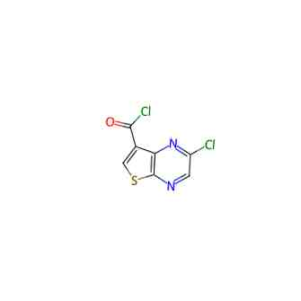 O=C(Cl)c1csc2ncc(Cl)nc12